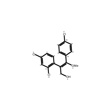 COC(=C(CO)c1ccc(Cl)cc1Cl)c1ccc(Cl)cc1